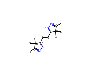 CC1=NN=C(CCC2=NN=C(C)C2(C)C)C1(C)C